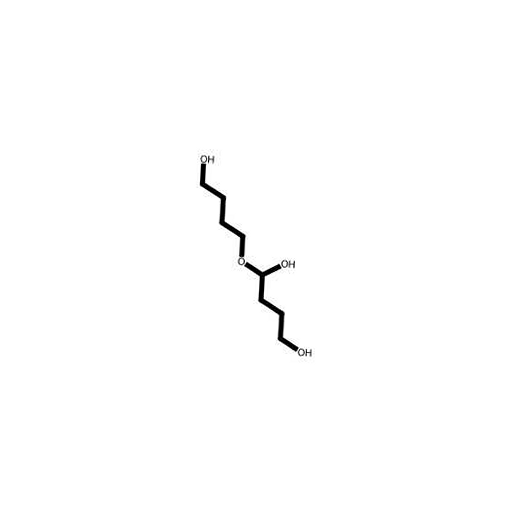 OCCCCOC(O)CCCO